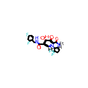 CCN1C(=O)c2c(O)c(=O)c(C(=O)NCc3ccc(F)cc3F)cn2[C@H]2[C@@H]1CCC2(F)F